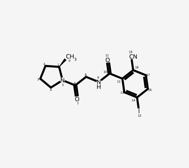 C[C@@H]1CCCN1C(=O)CNC(=O)c1cc(I)ccc1C#N